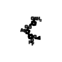 CC(=O)N1CC(c2ccc(OC(F)F)c(OCC3CC3)c2)C[C@@H]1C(=O)OCc1cccc(C(N)=O)c1